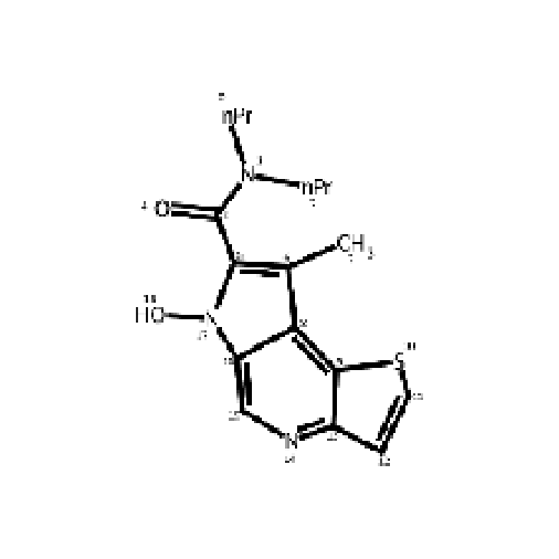 CCCN(CCC)C(=O)c1c(C)c2c3sccc3ncc2n1O